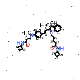 CN(CCC(=O)NC1CCC1)c1ccc(/C=C/C2=[N+](CCCCC(=O)NC3CCC3)c3ccccc3C2(C)C)cc1